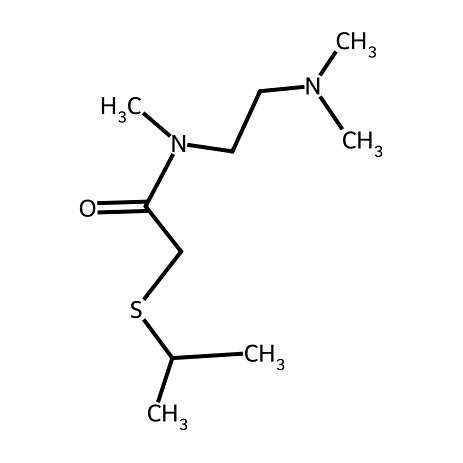 CC(C)SCC(=O)N(C)CCN(C)C